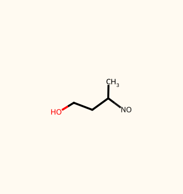 CC(CCO)N=O